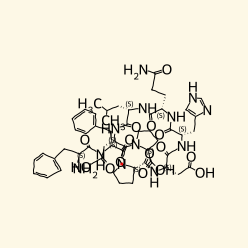 CC(C)C[C@H](NC(=O)[C@H](CCC(N)=O)NC(=O)[C@H](Cc1c[nH]cn1)NC(=O)[C@H](CC(=O)O)NC(=O)[C@@H]1CCCN1C(=O)[C@H](Cc1ccccc1)NC(=O)[C@@H](N)Cc1ccccc1)C(=O)N[C@@H](CC(=O)O)C(=O)N1CCC[C@H]1C(=O)O